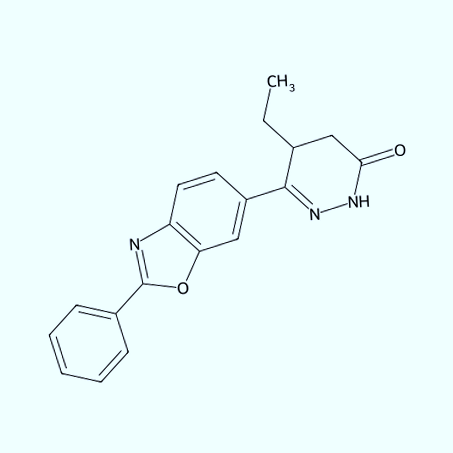 CCC1CC(=O)NN=C1c1ccc2nc(-c3ccccc3)oc2c1